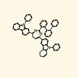 C1=Cc2c(c3cc(C4=CCC(c5ccc6c7ccccc7n(-c7ccccc7)c6c5)=NC(c5ccccc5-c5ccccc5-c5ccccc5)=N4)ccc3n2-c2ccccc2)CC1